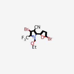 CCOCn1c(-c2ccc(Br)o2)c(C#N)c(Br)c1C(F)(F)F